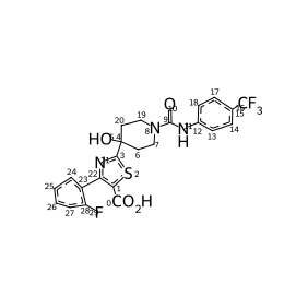 O=C(O)c1sc(C2(O)CCN(C(=O)Nc3ccc(C(F)(F)F)cc3)CC2)nc1-c1ccccc1F